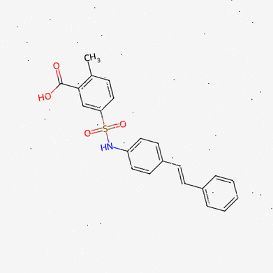 Cc1ccc(S(=O)(=O)Nc2ccc(/C=C/c3ccccc3)cc2)cc1C(=O)O